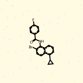 O=C(Nc1c(Br)ccc2c(C3CC3)cccc12)c1ccc(F)cc1